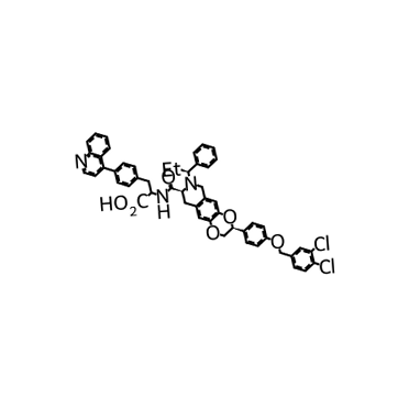 CC[C@@H](c1ccccc1)N1Cc2cc3c(cc2C[C@H]1C(=O)NC(Cc1ccc(-c2ccnc4ccccc24)cc1)C(=O)O)OC[C@H](c1ccc(OCc2ccc(Cl)c(Cl)c2)cc1)O3